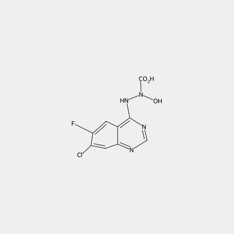 O=C(O)N(O)Nc1ncnc2cc(Cl)c(F)cc12